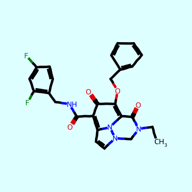 CCN1Cn2ccc3c(C(=O)NCc4ccc(F)cc4F)c(=O)c(OCc4ccccc4)c(n32)C1=O